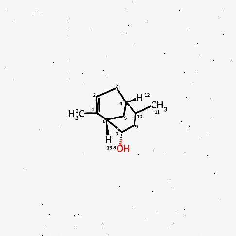 CC1=CC[C@H]2C[C@@H]1[C@@H](O)CC2C